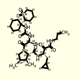 C=CCNC(=O)C(=O)[C@H](CC1CC1)NC(=O)[C@@H]1[C@@H](C)[C@@H](C)CN1C(=O)[C@@H](NC(=O)NC1([C@H]2CCCCS2(=O)=O)CCCCC1)C(C)(C)C